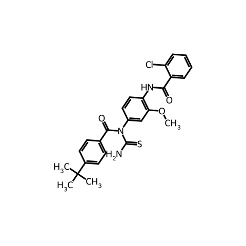 COc1cc(N(C(=O)c2ccc(C(C)(C)C)cc2)C(N)=S)ccc1NC(=O)c1ccccc1Cl